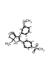 CCC1(C)OC(c2ccc(S(C)(=O)=O)cc2)=C(c2cccc(OC)c2)C1=O